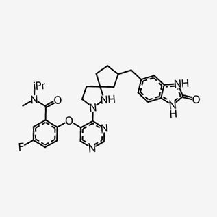 CC(C)N(C)C(=O)c1cc(F)ccc1Oc1cncnc1N1CCC2(CCC(Cc3ccc4[nH]c(=O)[nH]c4c3)C2)N1